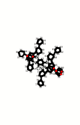 N#Cc1c(-n2c3ccccc3c3ccccc32)c(-n2c3ccc(-c4ccccc4)cc3c3cc(C4C=CC=CC4)ccc32)cc(-n2c3ccc(-c4ccccc4)cc3c3cc(-c4ccccc4)ccc32)c1-n1c2ccc(-c3ccccc3)cc2c2cc(-c3ccccc3)ccc21